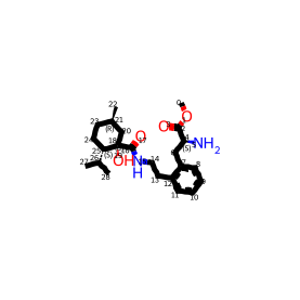 COC(=O)[C@@H](N)Cc1ccccc1CCNC(=O)[C@]1(O)C[C@H](C)CC[C@H]1C(C)C